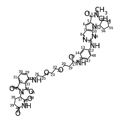 CN(C)C(=O)c1cc2cnc(Nc3ccc(NC(=O)CCOCCOCCNc4cccc5c4C(=O)N(C4CCC(=O)NC4=O)C5=O)cc3)nc2n1C1CCCC1